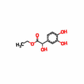 CCOC(=O)C(O)c1ccc(O)c(O)c1